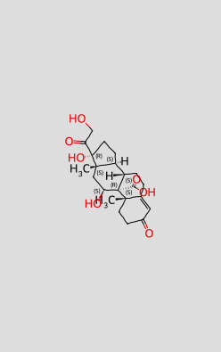 C[C@]12CCC(=O)C=C1CC[C@H]1[C@@H]3CC[C@](O)(C(=O)CO)[C@@]3(C)C[C@H](O)[C@@]12C(=O)O